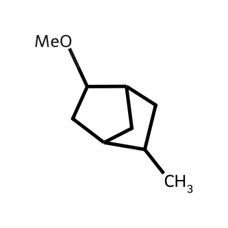 COC1CC2CC1CC2C